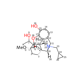 CO[C@@]12CC[C@@]3(C[C@@H]1C(C)O)[C@H]1Cc4ccc(O)c5c4[C@@]3(CCN1CC1CC1)[C@H]2O5